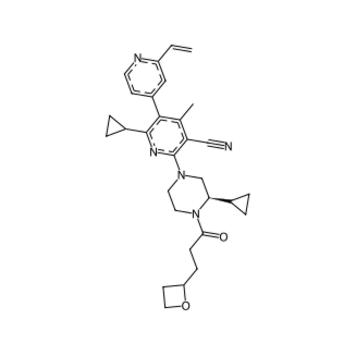 C=Cc1cc(-c2c(C3CC3)nc(N3CCN(C(=O)CCC4CCO4)[C@H](C4CC4)C3)c(C#N)c2C)ccn1